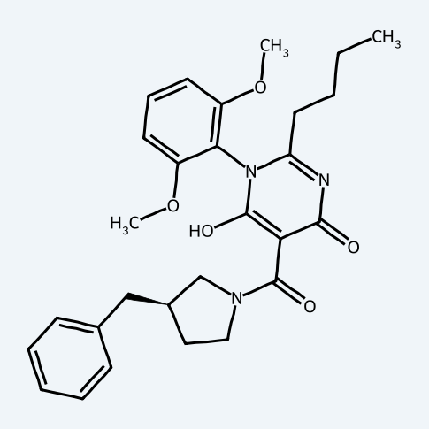 CCCCc1nc(=O)c(C(=O)N2CC[C@@H](Cc3ccccc3)C2)c(O)n1-c1c(OC)cccc1OC